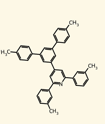 Cc1ccc(-c2cc(-c3ccc(C)cc3)cc(-c3cc(-c4cccc(C)c4)nc(-c4cccc(C)c4)c3)c2)cc1